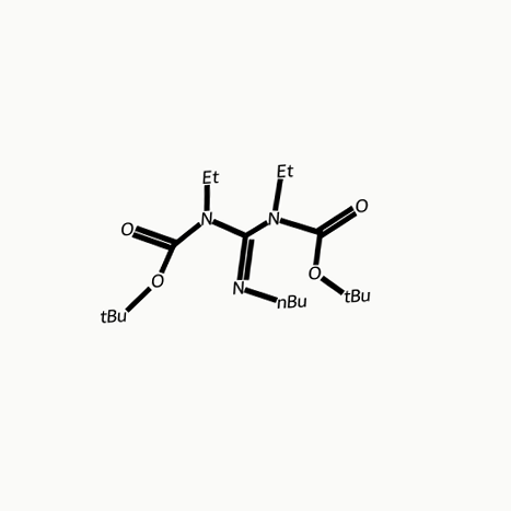 CCCCN=C(N(CC)C(=O)OC(C)(C)C)N(CC)C(=O)OC(C)(C)C